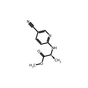 COC(=O)[C@H](C)Nc1ccc(C#N)cn1